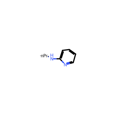 CC[CH]Nc1ccccn1